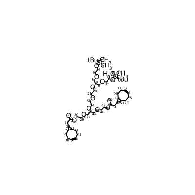 CC(C)(C)[Si](C)(C)OCCOCC(COCCO[Si](C)(C)C(C)(C)C)OCCOCCOC(COCCOC(=O)CC1C2CCC#CCCC21)COCCOC(=O)CC1C2CCC#CCCC21